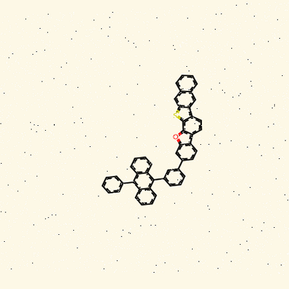 c1ccc(-c2c3ccccc3c(-c3cccc(-c4ccc5c(c4)oc4c5ccc5c6cc7ccccc7cc6sc54)c3)c3ccccc23)cc1